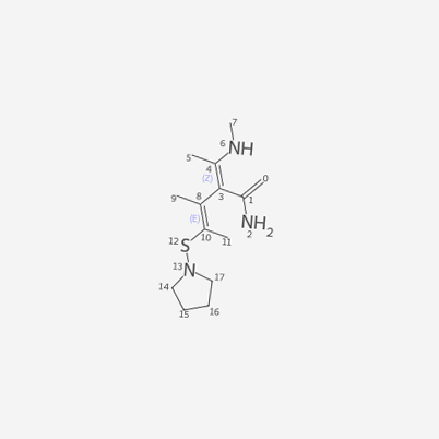 C=C(N)C(=C(/C)NC)/C(C)=C(\C)SN1CCCC1